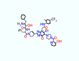 CCc1c(N2CCN(C(=O)c3ncccc3O)CC2)c(=O)n2nc(C3=CCN(C(=O)C(CC(C)C)NC(=O)[C@@H](O)[C@H](N)Cc4ccccc4)CC3)nc2n1CC(=O)Nc1ccc(C(F)(F)F)cc1C